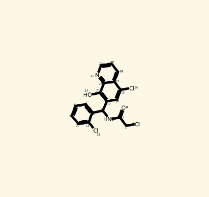 O=C(CCl)NC(c1ccccc1Cl)c1cc(Cl)c2cccnc2c1O